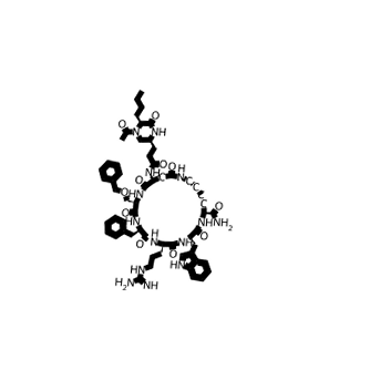 CCCC[C@H]1C(=O)N[C@@H](CCC(=O)N[C@H]2CC(=O)NCCCC[C@@H](C(N)=O)NC(=O)[C@H](Cc3c[nH]c4ccccc34)NC(=O)[C@H](CCCNC(=N)N)NC(=O)[C@@H](Cc3ccccc3)NC(=O)[C@H](COCc3ccccc3)NC2=O)CN1C(C)=O